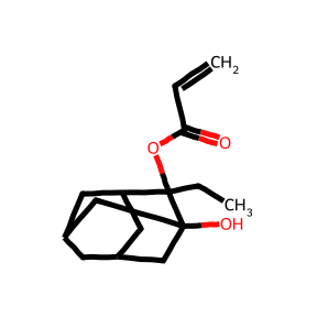 C=CC(=O)OC1(CC)C2CC3CC(C2)CC1(O)C3